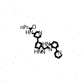 CCCC(=O)Nc1cncc(-c2ccc3[nH]nc(-c4nc5c(-c6ccccn6)cccc5[nH]4)c3c2)c1